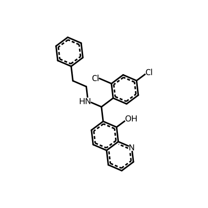 Oc1c(C(NCCc2ccccc2)c2ccc(Cl)cc2Cl)ccc2cccnc12